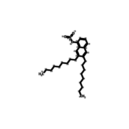 CCCCCCCCCc1cc2cccc(O[SH](=O)=O)c2cc1CCCCCCCCC